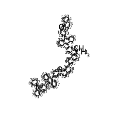 CC1(C)c2cc(-c3c4ccccc4c(-c4ccc5oc6c7ccccc7ccc6c5c4)c4ccccc34)ccc2-c2c1ccc1cc(-c3ccc4ccc5c6cc(-c7c8ccccc8c(-c8ccc9c%10ccccc%10n(-c%10ccccc%10)c9c8)c8ccccc78)ccc6oc5c4c3)ccc21